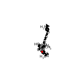 Cc1ncsc1-c1ccc(CNC(=O)[C@@H]2C[C@@H](O)CN2C(=O)[C@@H](NC(=O)COCCCOCCCOc2ccc(C3(N)CC3)cc2)C(C)(C)C)cc1